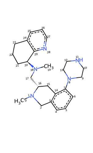 CN1Cc2cccc(N3CCNCC3)c2C[C@H]1CN(C)[C@H]1CCCc2cccnc21